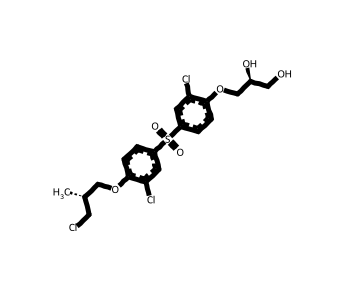 C[C@@H](CCl)COc1ccc(S(=O)(=O)c2ccc(OC[C@@H](O)CO)c(Cl)c2)cc1Cl